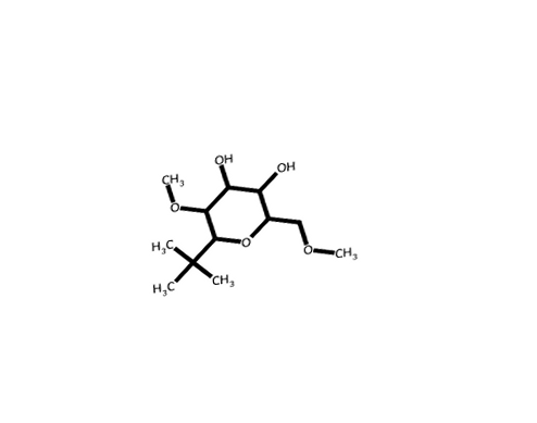 COCC1OC(C(C)(C)C)C(OC)C(O)C1O